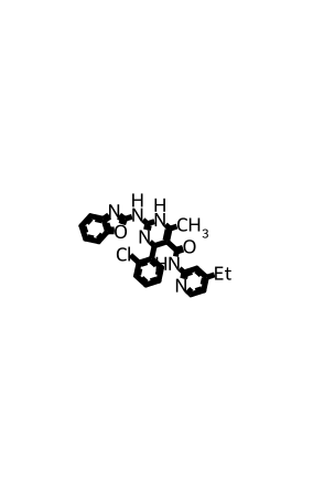 CCc1ccnc(NC(=O)C2=C(C)NC(Nc3nc4ccccc4o3)=NC2c2ccccc2Cl)c1